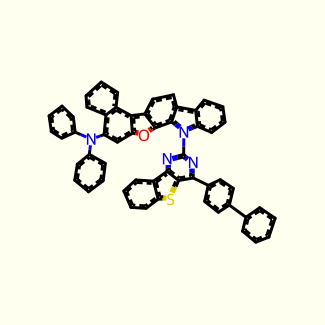 c1ccc(-c2ccc(-c3nc(-n4c5ccccc5c5ccc6c(oc7cc(N(c8ccccc8)c8ccccc8)c8ccccc8c76)c54)nc4c3sc3ccccc34)cc2)cc1